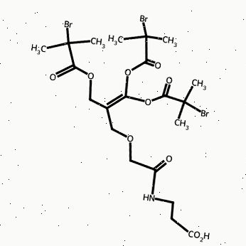 CC(C)(Br)C(=O)OCC(COCC(=O)NCCC(=O)O)=C(OC(=O)C(C)(C)Br)OC(=O)C(C)(C)Br